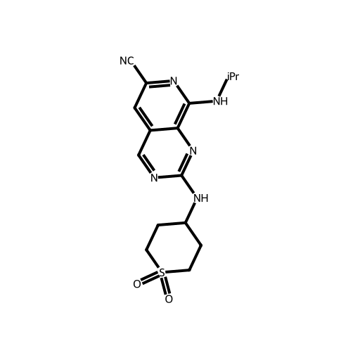 CC(C)Nc1nc(C#N)cc2cnc(NC3CCS(=O)(=O)CC3)nc12